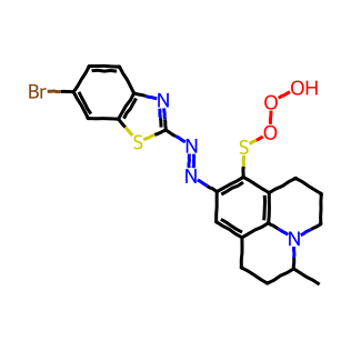 CC1CCc2cc(N=Nc3nc4ccc(Br)cc4s3)c(SOOO)c3c2N1CCC3